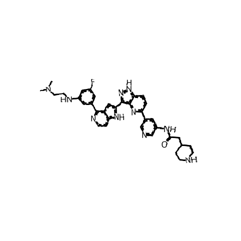 CN(C)CCNc1cc(F)cc(-c2nccc3[nH]c(-c4n[nH]c5ccc(-c6cncc(NC(=O)CC7CCNCC7)c6)nc45)cc23)c1